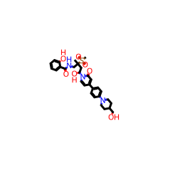 CC(CNC(=O)c1ccccc1O)(CC(O)n1ccc(-c2ccc(N3CCC(CO)CC3)cc2)cc1=O)S(C)(=O)=O